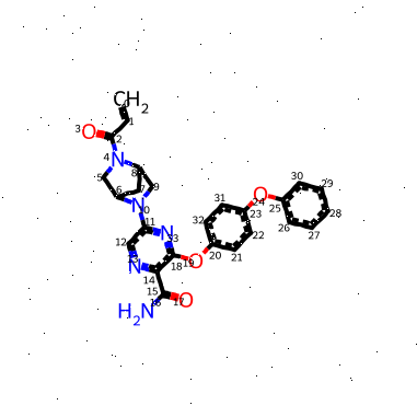 C=CC(=O)N1CC2CC1CN2c1cnc(C(N)=O)c(Oc2ccc(Oc3ccccc3)cc2)n1